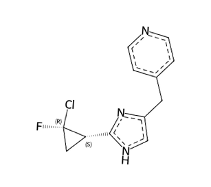 F[C@@]1(Cl)C[C@H]1c1nc(Cc2ccncc2)c[nH]1